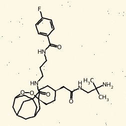 CC(C)(N)CNC(=O)C[C@H]1CC[C@@]2(CC1)CC1CC3CC(CC(C(=O)NCCCNC(=O)c4ccc(F)cc4)(C3)C1)OO2